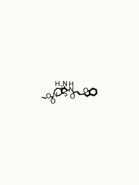 CCOC(=O)N1CCc2c(sc(NC(=O)/C=C/c3cc4ccccc4o3)c2N)C1